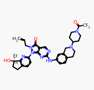 C=CCn1c(=O)c2cnc(Nc3ccc4c(c3)CN(C3CCN(C(=O)C(F)(F)F)CC3)CC4)nc2n1-c1ccc2c(n1)[C@@](O)(CC)CC2